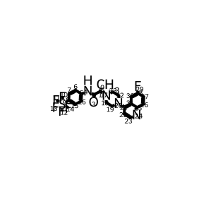 CC(C(=O)Nc1ccc(S(F)(F)(F)(F)F)cc1)N1CCN(c2ccnc3ccc(F)cc23)CC1